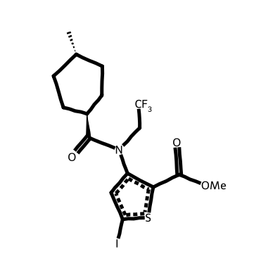 COC(=O)c1sc(I)cc1N(CC(F)(F)F)C(=O)[C@H]1CC[C@H](C)CC1